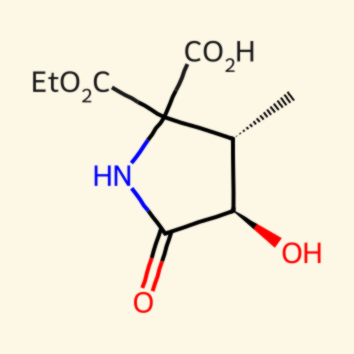 CCOC(=O)C1(C(=O)O)NC(=O)[C@H](O)[C@H]1C